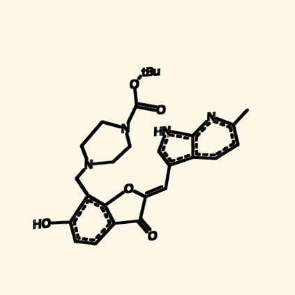 Cc1ccc2c(/C=C3\Oc4c(ccc(O)c4CN4CCN(C(=O)OC(C)(C)C)CC4)C3=O)c[nH]c2n1